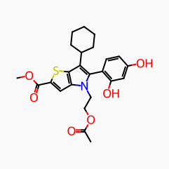 COC(=O)c1cc2c(s1)c(C1CCCCC1)c(-c1ccc(O)cc1O)n2CCOC(C)=O